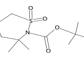 CC(C)(C)OC(=O)N1C(C)(C)CCCS1(=O)=O